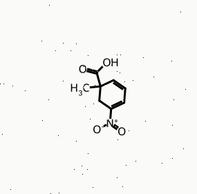 CC1(C(=O)O)C=CC=C([N+](=O)[O-])C1